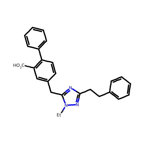 CCn1nc(CCc2ccccc2)nc1Cc1ccc(-c2ccccc2)c(C(=O)O)c1